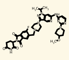 COC1CCN(c2nccc(Nc3cc4c(cn3)c(N3CCN(Cc5cc6c(cc5F)C(=O)N(C5CCC(=O)NC5=O)C6=O)CC3)nn4C(C)C)n2)CC1